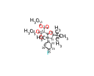 CCOC(=O)C(C(=O)OCC)C(=O)[C@](C)(CCC(C)(C)C)c1ccc(F)cc1